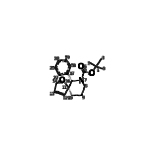 CC(C)(C)OC(=O)N1CCC[C@@]2(C=CCO2)[C@@H]1c1ccccc1